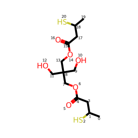 CC(S)CC(=O)OCC(CO)(CO)COC(=O)CC(C)S